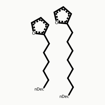 CCCCCCCCCCCCCCCCCc1ccco1.CCCCCCCCCCCCCCCc1ccco1